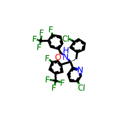 O=C(N[C@](Cc1cccc(Cl)c1)(c1cc(F)cc(C(F)(F)F)c1)c1ccc(Cl)cn1)c1ccc(F)c(C(F)(F)F)c1